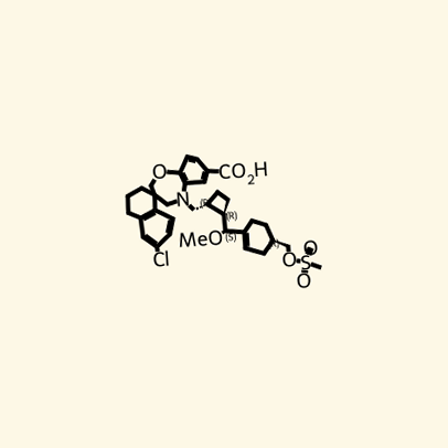 CO[C@H](C1=CC[C@H](COS(C)(=O)=O)CC1)[C@@H]1CC[C@H]1CN1CC2(CCCc3cc(Cl)ccc32)COc2ccc(C(=O)O)cc21